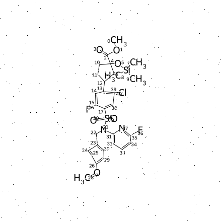 COC(=O)C1(O[Si](C)(C)C)CCC(c2cc(F)c(S(=O)(=O)N(Cc3ccc(OC)cc3)c3cccc(F)n3)cc2Cl)C1